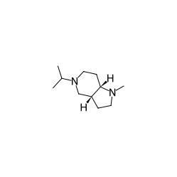 CC(C)N1CC[C@H]2[C@H](CCN2C)C1